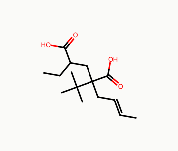 CC=CCC(CC(CC)C(=O)O)(C(=O)O)C(C)(C)C